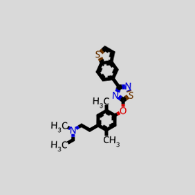 CCN(C)CCc1cc(C)c(Oc2nc(-c3ccc4sccc4c3)ns2)cc1C